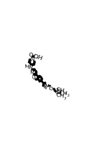 C[Si](C)(C)CCOCn1cc(-c2ccc3c(c2)COc2nc(NC4CCN(C(=O)O)CC4)ccc2-3)cn1